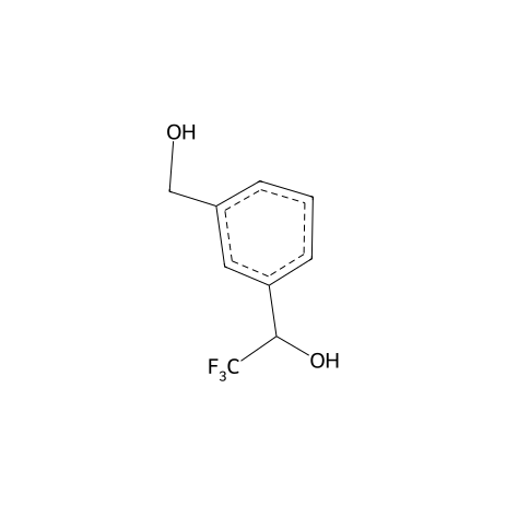 OCc1cccc(C(O)C(F)(F)F)c1